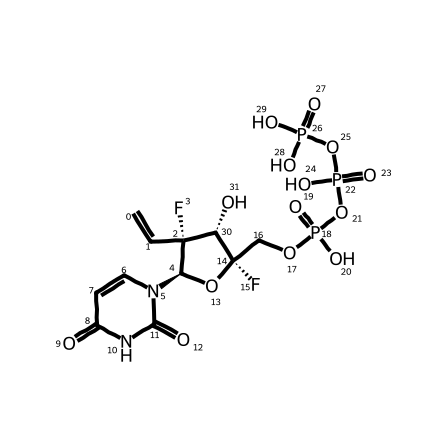 C=C[C@]1(F)[C@H](n2ccc(=O)[nH]c2=O)O[C@](F)(COP(=O)(O)OP(=O)(O)OP(=O)(O)O)[C@H]1O